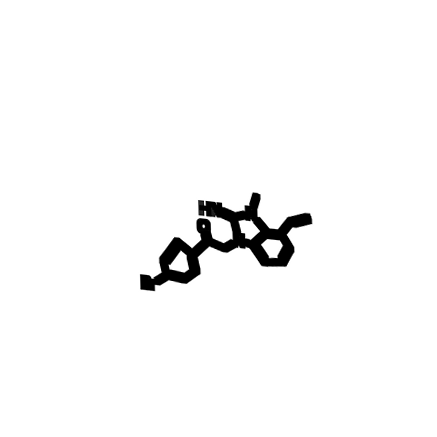 C=Cc1cccc2c1n(C)c(=N)n2CC(=O)c1ccc(Br)cc1